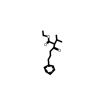 CCOC(=O)C(C(=O)CCCc1ccccc1)C(C)C